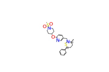 C[C@H]1CC[C@@H](c2ccccc2)SN1Cc1ccc(OC2CCN(S(C)(=O)=O)CC2)nc1